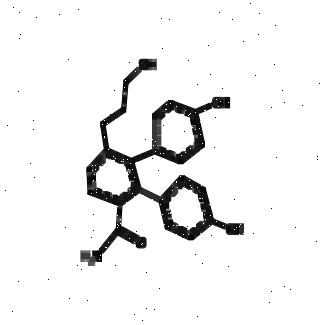 NC(=O)c1ccc(CCCO)c(-c2ccc(O)cc2)c1-c1ccc(O)cc1